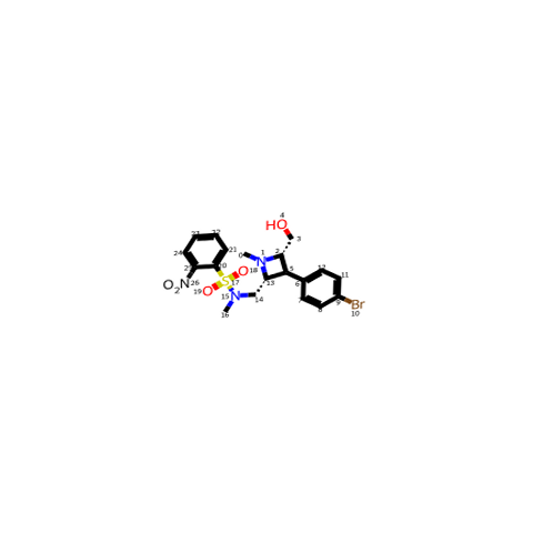 CN1[C@H](CO)C(c2ccc(Br)cc2)[C@@H]1CN(C)S(=O)(=O)c1ccccc1[N+](=O)[O-]